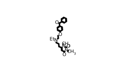 CCN(CCCc1cc(=O)n(C)c(=O)n1C)CCOc1ccc(C(=O)c2ccccc2)cc1